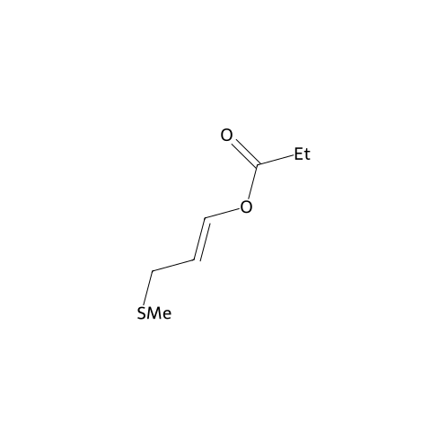 CCC(=O)OC=CCSC